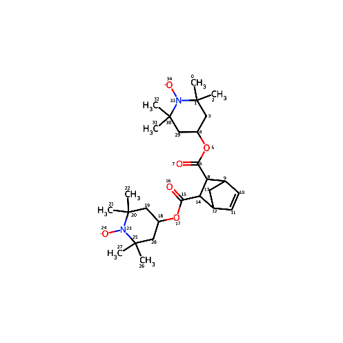 CC1(C)CC(OC(=O)C2C3C=CC(C3)C2C(=O)OC2CC(C)(C)N([O])C(C)(C)C2)CC(C)(C)N1[O]